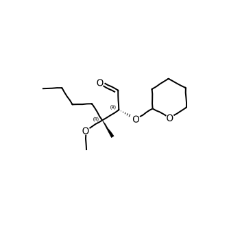 CCCC[C@@](C)(OC)[C@H](C=O)OC1CCCCO1